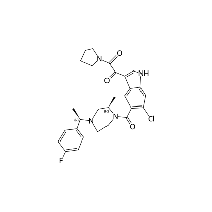 C[C@H](c1ccc(F)cc1)N1CCN(C(=O)c2cc3c(C(=O)C(=O)N4CCCC4)c[nH]c3cc2Cl)[C@H](C)C1